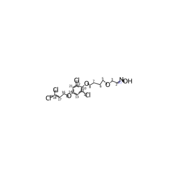 O/N=C/COCCCCOc1c(Cl)cc(OCC=C(Cl)Cl)cc1Cl